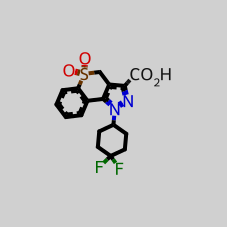 O=C(O)c1nn(C2CCC(F)(F)CC2)c2c1CS(=O)(=O)c1ccccc1-2